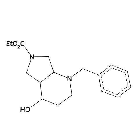 CCOC(=O)N1CC2C(O)CCN(Cc3ccccc3)C2C1